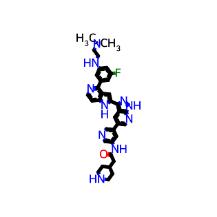 CN(C)CCNc1cc(F)cc(-c2nccc3[nH]c(-c4n[nH]c5ncc(-c6cncc(NC(=O)CC7CCNCC7)c6)cc45)cc23)c1